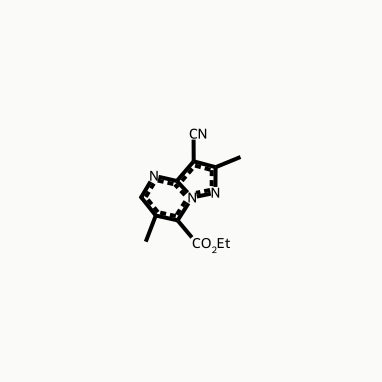 CCOC(=O)c1c(C)cnc2c(C#N)c(C)nn12